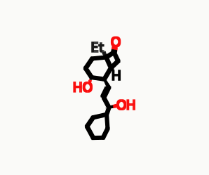 CC[C@]12CC[C@@H](O)[C@H](/C=C/[C@@H](O)C3CCCCC3)[C@H]1CC2=O